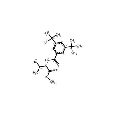 COC(=O)[C@@H](NC(=O)c1cc(C(C)(C)C)cc(C(C)(C)C)c1)[C@@H](C)O